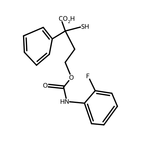 O=C(Nc1ccccc1F)OCCC(S)(C(=O)O)c1ccccc1